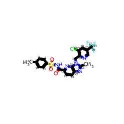 Cc1ccc(S(=O)(=O)NC(=O)c2ccc3nc(C)n(Cc4ncc(C(F)(F)F)cc4Cl)c3n2)cc1